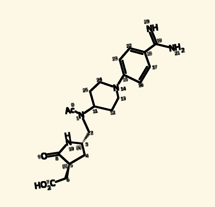 CC(=O)N(C[C@@H]1C[C@@H](CC(=O)O)C(=O)N1)C1CCN(c2ccc(C(=N)N)cc2)CC1